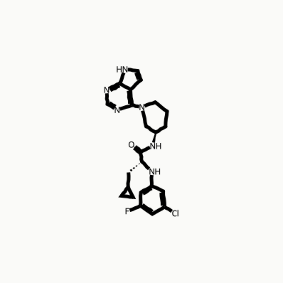 O=C(N[C@@H]1CCCN(c2ncnc3[nH]ccc23)C1)[C@@H](CC1CC1)Nc1cc(F)cc(Cl)c1